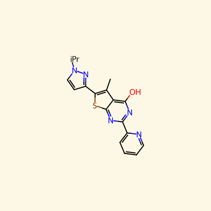 Cc1c(-c2ccn(C(C)C)n2)sc2nc(-c3ccccn3)nc(O)c12